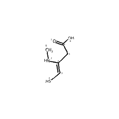 CN/C(=C\S)CC(=O)O